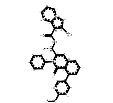 COc1ncc(-c2cccc3cc([C@H](C)NC(=O)c4c(N)nn5cccnc45)n(-c4ccccc4)c(=O)c23)cn1